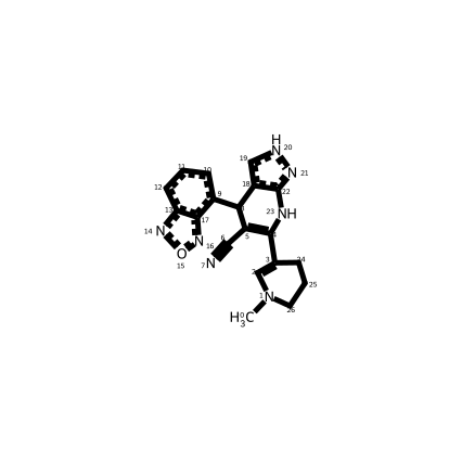 CN1C=C(C2=C(C#N)C(c3cccc4nonc34)c3c[nH]nc3N2)CCC1